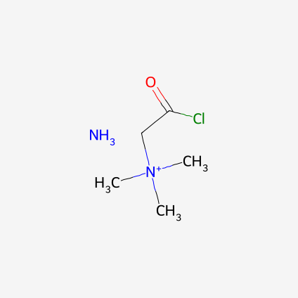 C[N+](C)(C)CC(=O)Cl.N